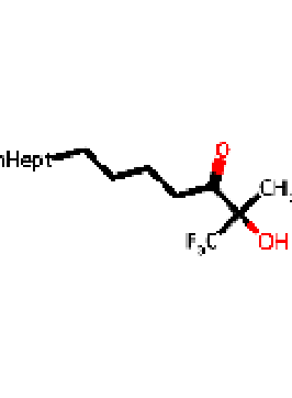 CCCCCCCCCCCC(=O)C(C)(O)C(F)(F)F